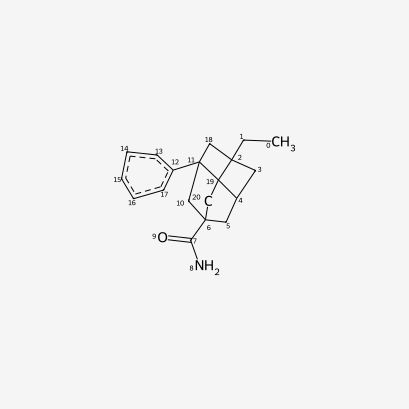 CCC12CC3CC4(C(N)=O)CC(c5ccccc5)(C1)C32C4